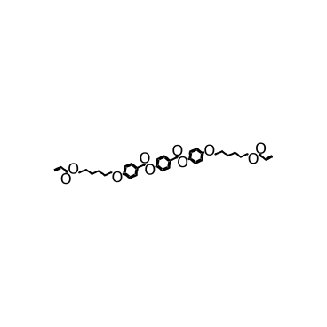 C=CC(=O)OCCCCCCOc1ccc(OC(=O)c2ccc(OC(=O)c3ccc(OCCCCCCOC(=O)C=C)cc3)cc2)cc1